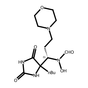 CCCCC1([C@H](CCN2CCOCC2)N(O)C=O)NC(=O)NC1=O